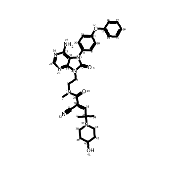 CN(CCn1c(=O)n(-c2ccc(Oc3ccccc3)cc2)c2c(N)ncnc21)C(=O)/C(C#N)=C/C(C)(C)N1CCC(O)CC1